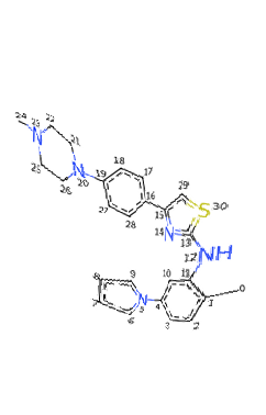 Cc1ccc(-n2cccc2)cc1Nc1nc(-c2ccc(N3CCN(C)CC3)cc2)cs1